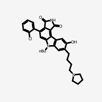 CCCCn1c2cc(CCCCN3CCCC3)c(O)cc2c2c3c(c(-c4ccccc4Cl)cc21)C(=O)NC3=O